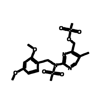 COc1ccc(CN(c2ncc(C)c(COS(C)(=O)=O)n2)S(C)(=O)=O)c(OC)c1